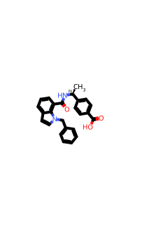 C[C@H](NC(=O)c1cccc2ccn(Cc3ccccc3)c12)c1ccc(C(=O)O)cc1